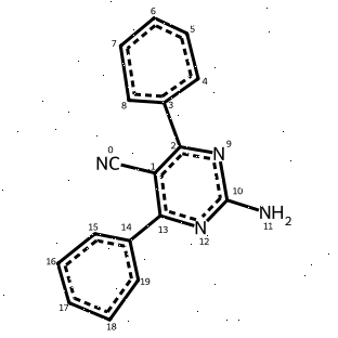 N#Cc1c(-c2ccccc2)nc(N)nc1-c1ccccc1